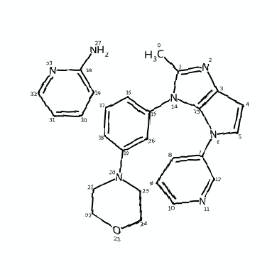 Cc1nc2ccn(-c3cccnc3)c2n1-c1cccc(N2CCOCC2)c1.Nc1ccccn1